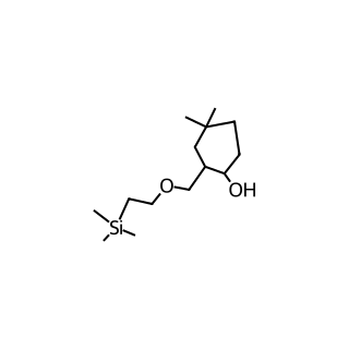 CC1(C)CCC(O)C(COCC[Si](C)(C)C)C1